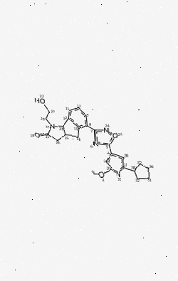 COc1cc(-c2nc(-c3cccc4c3CC3CC(=O)N(CCO)C43)no2)cc(C2CCCC2)n1